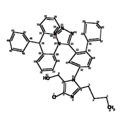 CCCCc1nc(Cl)c(CO)n1-c1ccc(-c2ccccc2)c(-c2nnnn2-c2ccccc2C(c2ccccc2)c2ccccc2)c1